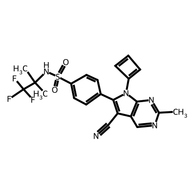 Cc1ncc2c(C#N)c(-c3ccc(S(=O)(=O)NC(C)(C)C(F)(F)F)cc3)n(C3=CC=C3)c2n1